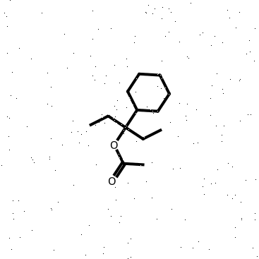 CCC(CC)(OC(C)=O)C1CCCCC1